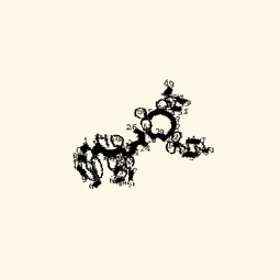 CC[C@H](O[Si](CC)(CC)CC)[C@@H](C)[C@@H]1O[C@@H]1[C@@](C)(O)[C@@](C)(/C=C/C(C)=C(\C)[C@H]1C/C=C/[C@H](OC(=O)N2CCN(C)CC2)CCC[C@@H](O[Si](CC)(CC)CC)CC(=O)O1)O[Si](CC)(CC)CC